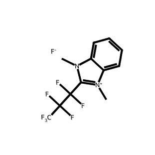 Cn1c(C(F)(F)C(F)(F)C(F)(F)F)[n+](C)c2ccccc21.[F-]